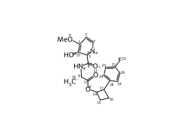 COc1ccnc(C(=O)N[C@@H](C)C(=O)OC2CCC2c2ccc(F)cc2)c1O